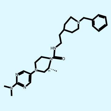 C[C@@H]1CN(c2cnc(N(C)C)nc2)CCN1C(=O)NCCC1CCN(Cc2ccccc2)CC1